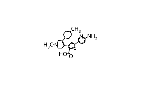 CC1CCC(C2=C(c3cc(-c4ccc(N)nc4)sc3C(=O)O)CCN(C)C2)CC1